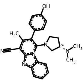 Cc1c(-c2ccc(O)cc2)c(N2CC[C@H](N(C)C)C2)n2c(nc3ccccc32)c1C#N